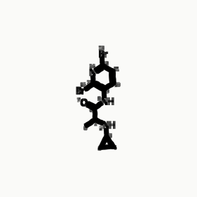 CC(NC1CC1)C(=O)Nc1ccc(Br)nc1Br